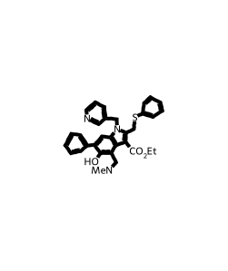 CCOC(=O)c1c(CSc2ccccc2)n(Cc2cccnc2)c2cc(-c3ccccc3)c(O)c(CNC)c12